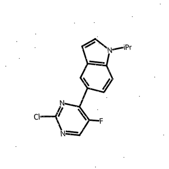 CC(C)n1ccc2cc(-c3nc(Cl)ncc3F)ccc21